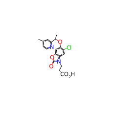 Cc1ccnc([C@@H](C)Oc2cc3oc(=O)n(CCC(=O)O)c3cc2Cl)c1